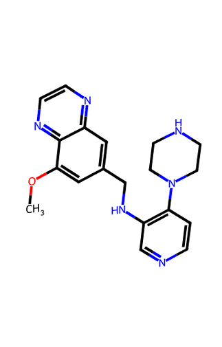 COc1cc(CNc2cnccc2N2CCNCC2)cc2nccnc12